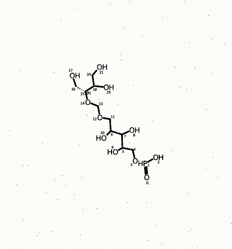 O=[PH](O)OCC(O)C(O)C(O)COCO[C@H](CO)C(O)CO